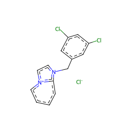 Clc1cc(Cl)cc(Cn2cc[n+]3ccccc23)c1.[Cl-]